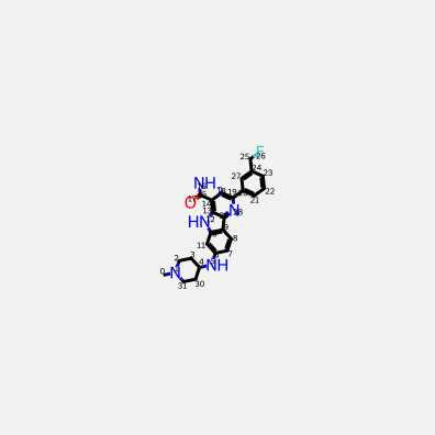 CN1CCC(Nc2ccc3c(c2)[nH]c2c(C(N)=O)cc(-c4cccc(CF)c4)nc23)CC1